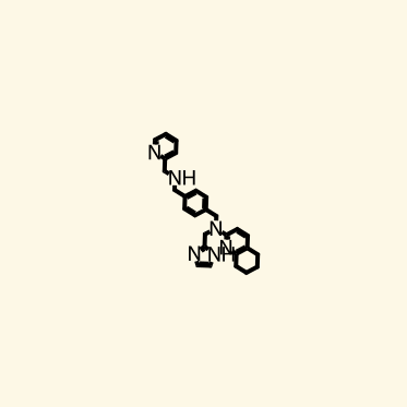 c1ccc(CNCc2ccc(CN(Cc3ncc[nH]3)c3ccc4c(n3)CCCC4)cc2)nc1